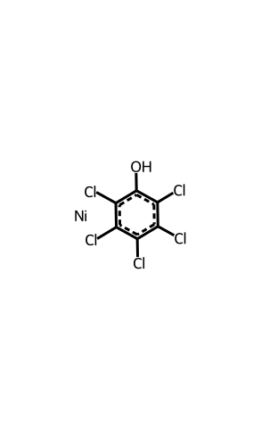 Oc1c(Cl)c(Cl)c(Cl)c(Cl)c1Cl.[Ni]